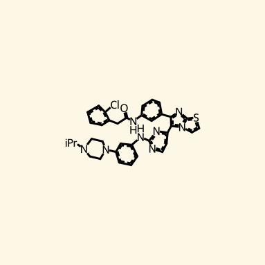 CC(C)N1CCN(c2cccc(Nc3nccc(-c4c(-c5cccc(NC(=O)Cc6ccccc6Cl)c5)nc5sccn45)n3)c2)CC1